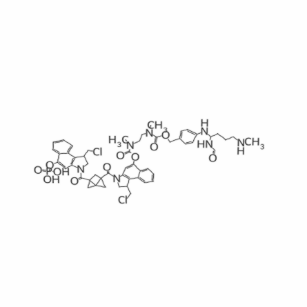 CNCCCC(NC=O)Nc1ccc(COC(=O)N(C)CCN(C)C(=O)Oc2cc3c(c4ccccc24)C(CCl)CN3C(=O)C23CC4(C(=O)N5CC(CCl)c6c5cc(OP(=O)(O)O)c5ccccc65)CC24C3)cc1